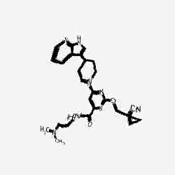 CN(C)CCNC(=O)c1cc(N2CCC(c3c[nH]c4ncccc34)CC2)nc(OCC2(C#N)CC2)n1